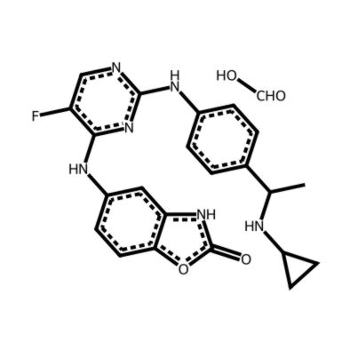 CC(NC1CC1)c1ccc(Nc2ncc(F)c(Nc3ccc4oc(=O)[nH]c4c3)n2)cc1.O=CO